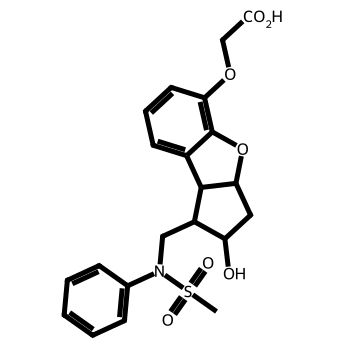 CS(=O)(=O)N(CC1C(O)CC2Oc3c(OCC(=O)O)cccc3C21)c1ccccc1